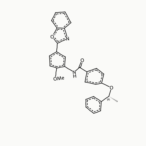 COc1ccc(-c2nc3ccccc3o2)cc1NC(=O)c1ccc(O[C@H](C)c2ccccc2)cc1